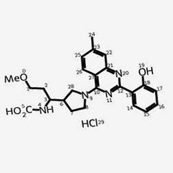 COCCC(NC(=O)O)C1CCN(c2nc(-c3ccccc3O)nc3cc(C)ccc23)C1.Cl